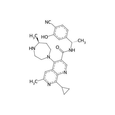 Cc1cc2c(N3CCN[C@@H](C)CC3)c(C(=O)N[C@@H](C)c3ccc(C#N)c(O)c3)cnc2c(C2CC2)n1